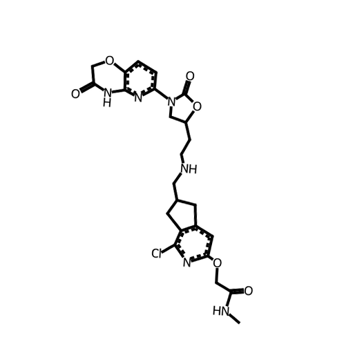 CNC(=O)COc1cc2c(c(Cl)n1)CC(CNCCC1CN(c3ccc4c(n3)NC(=O)CO4)C(=O)O1)C2